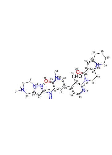 CN1CCn2nc(Nc3cc(-c4ccnc(N5CCc6c(cc7n6CCCC7)C5=O)c4C=O)cn(C)c3=O)cc2C1